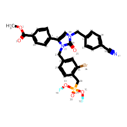 COC(=O)c1ccc(-c2cn(Cc3ccc(C#N)cc3)c(=O)n2Cc2ccc(CP(=O)(OF)OF)c(Br)c2)cc1